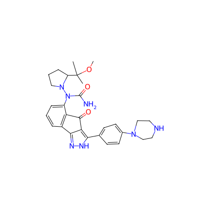 COC(C)(C)C1CCCN1N(C(N)=O)c1cccc2c1C(=O)c1c-2n[nH]c1-c1ccc(N2CCNCC2)cc1